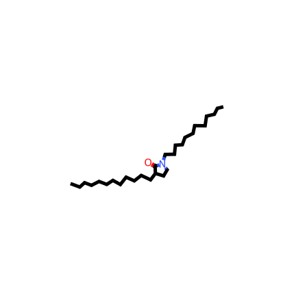 CCCCCCCCCCCCC1CCN(CCCCCCCCCCCC)C1=O